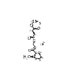 COC(=O)C=CC(=O)OCOC(=O)c1cccc[n+]1C.[I-]